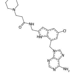 Nc1ncnc2c1ncn2Cc1cc(Cl)cc2cc(CNC(=O)CCN3CCCCC3)[nH]c12